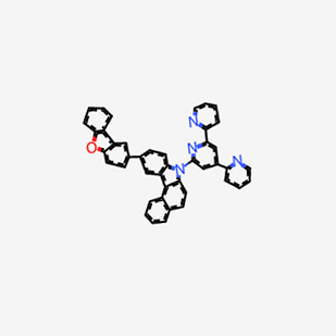 c1ccc(-c2cc(-c3ccccn3)nc(-n3c4ccc(-c5ccc6oc7ccccc7c6c5)cc4c4c5ccccc5ccc43)c2)nc1